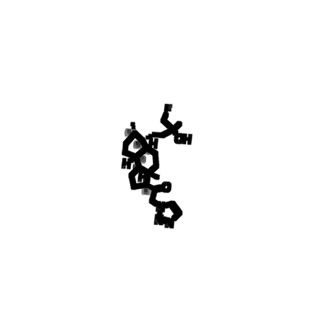 C[C@H]1CC[C@@H]2[C@H](CC[C@]3(C)[C@@H](C(=O)Cn4ccnn4)CC[C@@H]23)[C@H]1CCC(C)(O)CF